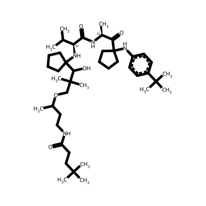 CC(CCNC(=O)CCC(C)(C)C)OCC(C)(C)C(O)C1(N[C@H](C(=O)N[C@@H](C)C(=O)C2(Nc3ccc(C(C)(C)C)cc3)CCCC2)C(C)C)CCCC1